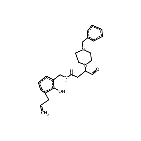 C=CCc1cccc(CNNCC(C=O)N2CCN(Cc3ccccc3)CC2)c1O